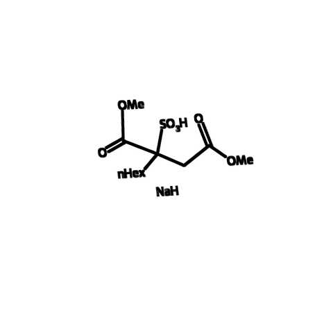 CCCCCCC(CC(=O)OC)(C(=O)OC)S(=O)(=O)O.[NaH]